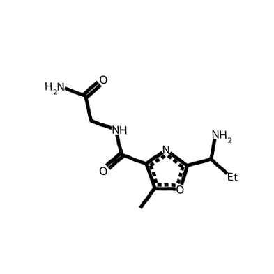 CCC(N)c1nc(C(=O)NCC(N)=O)c(C)o1